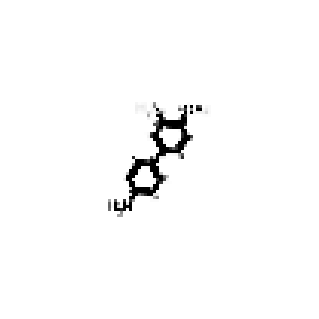 CC(=O)Oc1ccc(-c2ccc(N)cc2)cc1N